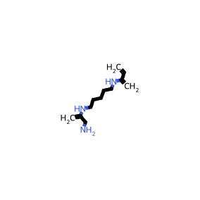 C=CC(=C)NCCCCCNC(=C)CN